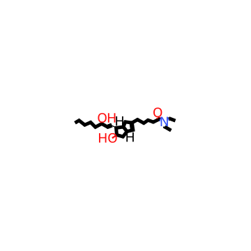 CCCCC[C@@H](O)/C=C/[C@@H]1[C@H]2CC(CCCCC(=O)N(CC)CC)=C[C@H]2C[C@H]1O